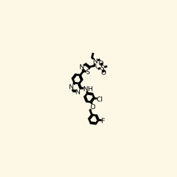 CCN(C)[C@H](CS(C)(=O)=O)c1cnc(-c2ccc3ncnc(Nc4ccc(OCc5cccc(F)c5)c(Cl)c4)c3c2)s1